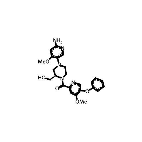 COc1cc(C(=O)N2CCN(c3cnc(N)cc3OC)C[C@@H]2CO)ncc1Oc1ccccc1